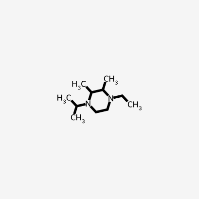 CCN1CCN(C(C)C)C(C)C1C